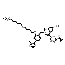 Cc1ncsc1-c1ccc(CNC(=O)[C@@H]2C[C@@H](O)CN2C(=O)C(NC(=O)C2(F)CC2)C(C)(C)C)c(OCCCCCCCCCCC(=O)O)c1